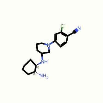 N#Cc1ccc(N2CCCC(N[C@@H]3CCCC[C@H]3N)C2)cc1Cl